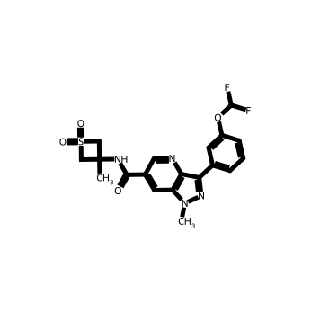 Cn1nc(-c2cccc(OC(F)F)c2)c2ncc(C(=O)NC3(C)CS(=O)(=O)C3)cc21